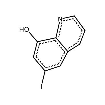 Oc1cc(I)cc2cccnc12